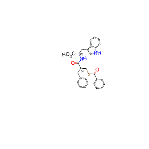 O=C(SC[C@@H](Cc1ccccc1)C(=O)N[C@@H](Cc1c[nH]c2ccccc12)C(=O)O)c1ccccc1